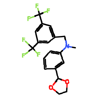 CN(Cc1cc(C(F)(F)F)cc(C(F)(F)F)c1)c1cccc(C2OCCO2)c1